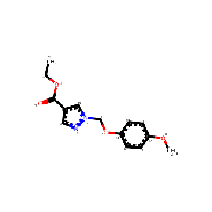 CCOC(=O)c1cnn(COc2ccc(OC)cc2)c1